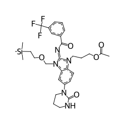 CC(=O)OCCCn1c(=NC(=O)c2cccc(C(F)(F)F)c2)n(COCC[Si](C)(C)C)c2cc(N3CCCNC3=O)ccc21